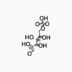 O=C[C@@H](O)[C@@H](O)[C@H](O)[C@H](O)COS(=O)(=O)O